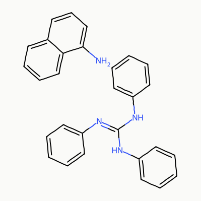 Nc1cccc2ccccc12.c1ccc(N=C(Nc2ccccc2)Nc2ccccc2)cc1